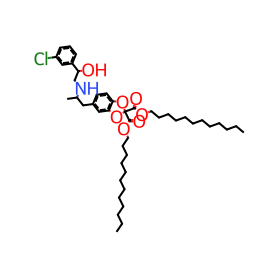 CCCCCCCCCCCCOC(=O)C1(C(=O)OCCCCCCCCCCCC)Oc2ccc(CC(C)NCC(O)c3cccc(Cl)c3)cc2O1